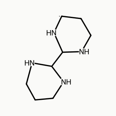 [CH]1CCNC(C2NCCCN2)N1